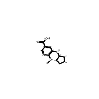 COc1ncc(C(=O)O)cc1OC1CCCC1